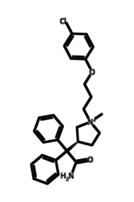 C[N+]1(CCCOc2ccc(Cl)cc2)CC[C@@H](C(C(N)=O)(c2ccccc2)c2ccccc2)C1